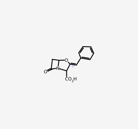 O=C(O)C1/C(=C/c2ccccc2)OC2CC(=O)N21